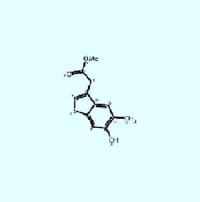 COC(=O)Cc1csc2cc(O)c(C)cc12